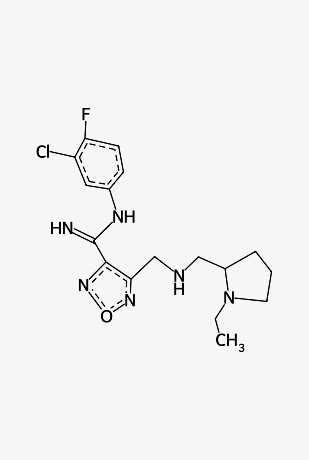 CCN1CCCC1CNCc1nonc1C(=N)Nc1ccc(F)c(Cl)c1